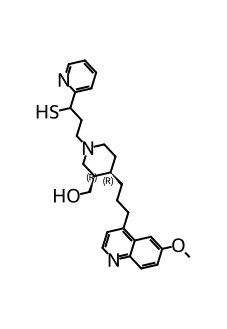 COc1ccc2nccc(CCC[C@@H]3CCN(CCC(S)c4ccccn4)C[C@@H]3CO)c2c1